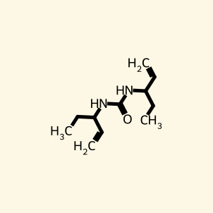 C=CC(CC)NC(=O)NC(C=C)CC